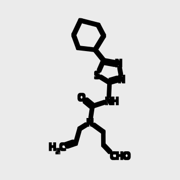 C=CCN(CCC=O)C(=O)Nc1nnc(C2CCCCC2)s1